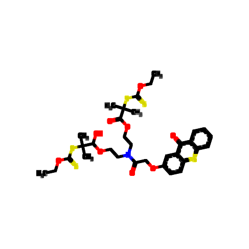 CCOC(=S)SC(C)(C)C(=O)OCCN(CCOC(O)C(C)(C)SC(=S)OCC)C(=O)COc1ccc2sc3ccccc3c(=O)c2c1